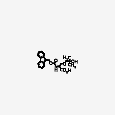 CC(C)(O)COC[C@H](NC(=O)OCC1c2ccccc2-c2ccccc21)C(=O)O